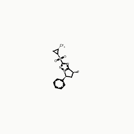 O=S(=O)(c1nc2n(n1)[C@H](c1ccccc1)C[C@@H]2F)[C@H]1C[C@@H]1C(F)(F)F